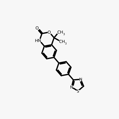 CC1(C)OC(=O)Nc2ccc(-c3ccc(-c4ncsn4)cc3)cc21